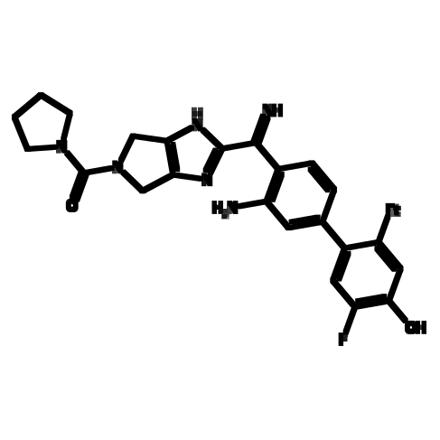 CCc1cc(O)c(F)cc1-c1ccc(C(=N)c2nc3c([nH]2)CN(C(=O)N2CCCC2)C3)c(N)c1